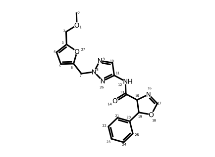 COCc1ccc(Cn2ncc(NC(=O)C3N=COC3c3ccccc3)n2)o1